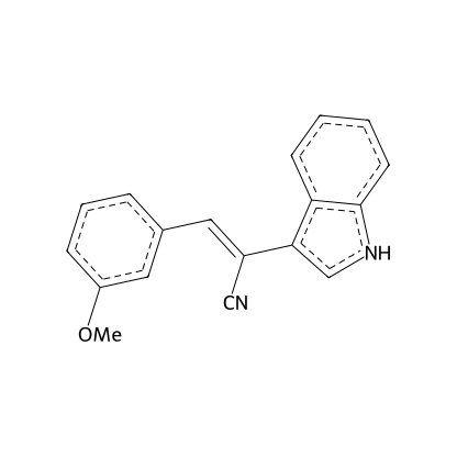 COc1cccc(C=C(C#N)c2c[nH]c3ccccc23)c1